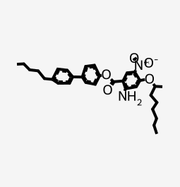 CCCCCCC(C)Oc1cc(N)c(C(=O)Oc2ccc(-c3ccc(CCCCC)cc3)cc2)cc1[N+](=O)[O-]